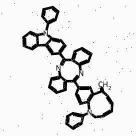 C=C1/C=C\C=C/CN(c2ccccc2)c2ccc(/C3=N/c4ccccc4/C(c4ccc5c(c4)c4ccccc4n5-c4ccccc4)=N\c4ccccc43)cc21